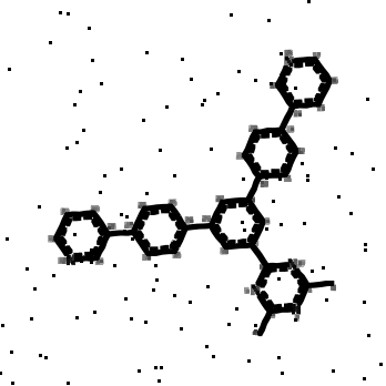 Cc1nc(C)nc(-c2cc(-c3ccc(-c4cccnc4)cc3)cc(-c3ccc(-c4cccnc4)cc3)c2)n1